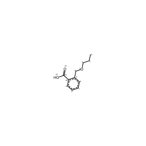 CCCOCc1ccccc1C(=O)O